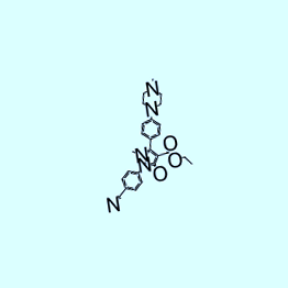 CCOC(=O)c1c(-c2ccc(N3CCN(C)CC3)cc2)n(C)n(-c2ccc(C#N)cc2)c1=O